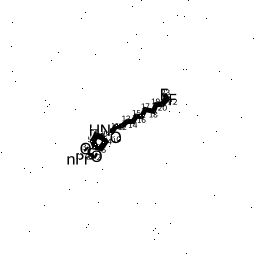 CCCS(=O)(=O)c1ccc(NC(=O)CCCCCCCCCC=C(F)F)cc1